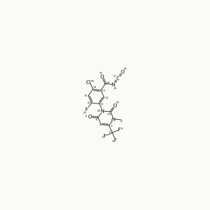 Cn1c(C(F)(F)F)cc(=O)n(-c2cc(C(=O)N=C=O)c(Cl)cc2F)c1=O